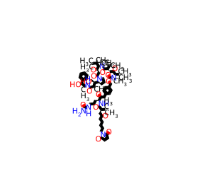 CC[C@H](C)[C@@H]([C@@H](CC(=O)N1CCC[C@H]1[C@H](CO)[C@@H](C)C(=O)N[C@H](C)[C@@H](O)c1ccccc1)OC)N(C)C(=O)[C@@H](CC(=O)C(C(C)C)N(C)C(=O)OCc1ccc(CC(=O)[C@H](CCCNC(N)=O)NC(=O)[C@H](CC(=O)CCCCCN2C(=O)C=CC2=O)C(C)C)cc1)C(C)C